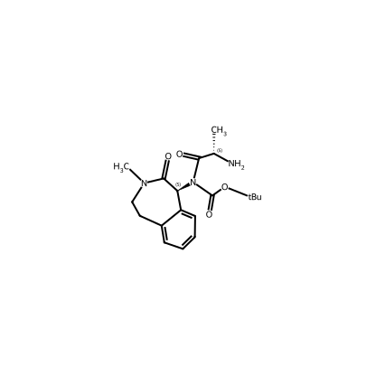 C[C@H](N)C(=O)N(C(=O)OC(C)(C)C)[C@@H]1C(=O)N(C)CCc2ccccc21